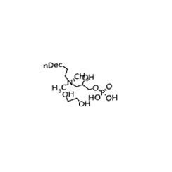 CCCCCCCCCCCC[N+](C)(C)CC(O)COP(=O)(O)O.OCCO